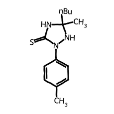 CCCCC1(C)NC(=S)N(c2ccc(C)cc2)N1